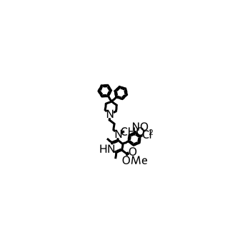 COC(=O)C1=C(C)NC(C)=C(N(C=O)CCCN2CCC(c3ccccc3)(c3ccccc3)CC2)C1c1ccc(Cl)c([N+](=O)[O-])c1